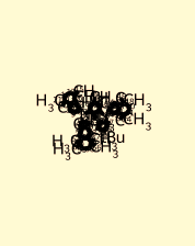 Cc1cc2c3c(c1)N(c1ccc4c(c1)C(C)(C)CCC4(C)C)c1oc4cc5c(cc4c1B3c1cc(C(C)(C)C)ccc1N2c1cc2c(cc1C)C(C)(C)CCC2(C)C)C(C)(C)CCC5(C)C